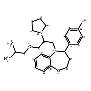 CC(C)COCC(CN1c2ccccc2OCCC1c1ccc(F)cc1)N1CCCC1